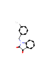 N#Cc1cccc(CN2C(=O)C(=O)c3ccccc32)c1